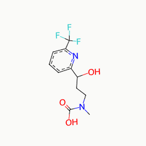 CN(CCC(O)c1cccc(C(F)(F)F)n1)C(=O)O